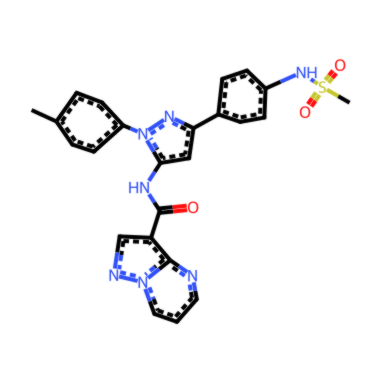 Cc1ccc(-n2nc(-c3ccc(NS(C)(=O)=O)cc3)cc2NC(=O)c2cnn3cccnc23)cc1